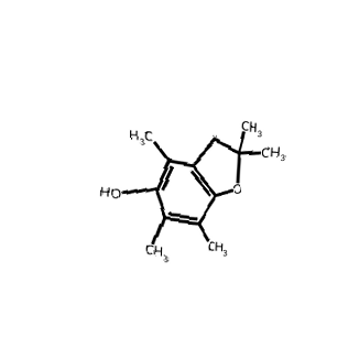 Cc1c(C)c2c(c(C)c1O)[C]C(C)(C)O2